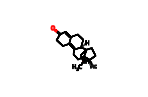 CC(=O)[C@@]12CCC3(CC1C)[C@@H]1CCC4=CC(=O)CCC4=C1CC[C@@]32C